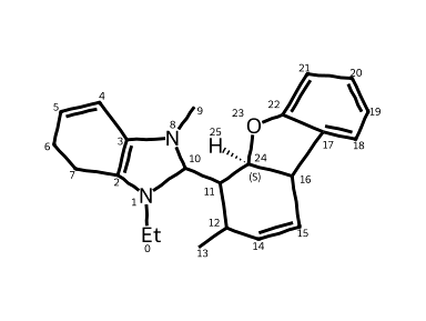 CCN1C2=C(C=CCC2)N(C)C1C1C(C)C=CC2c3ccccc3O[C@@H]21